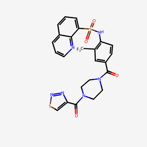 O=C(c1ccc(NS(=O)(=O)c2cccc3cccnc23)c(C(F)(F)F)c1)N1CCN(C(=O)c2csnn2)CC1